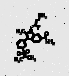 Cc1c(-c2cccc(S(=O)(=O)N(C)C)c2)c2ccc(C(N)=O)cc2n1CC(F)=CCN